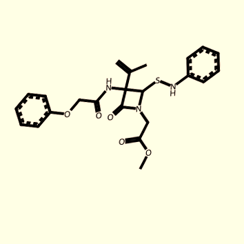 C=C(C)C1(NC(=O)COc2ccccc2)C(=O)N(CC(=O)OC)C1SNc1ccccc1